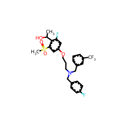 CC(O)c1c(F)cc(OCCCN(Cc2ccc(F)cc2)Cc2cccc(C(F)(F)F)c2)cc1S(C)(=O)=O